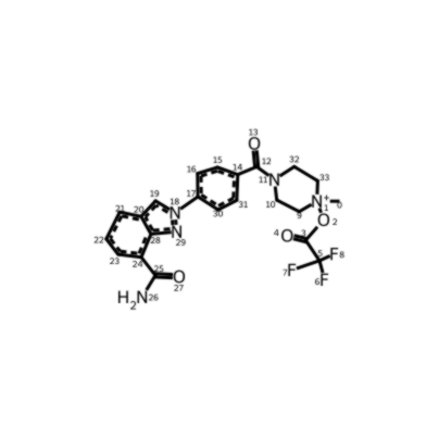 C[N+]1(OC(=O)C(F)(F)F)CCN(C(=O)c2ccc(-n3cc4cccc(C(N)=O)c4n3)cc2)CC1